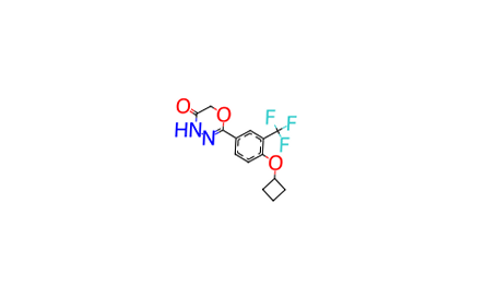 O=C1COC(c2ccc(OC3CCC3)c(C(F)(F)F)c2)=NN1